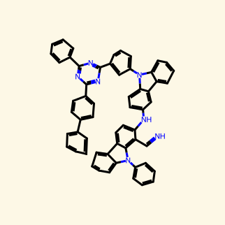 N=Cc1c(Nc2ccc3c(c2)c2ccccc2n3-c2cccc(-c3nc(-c4ccccc4)nc(-c4ccc(-c5ccccc5)cc4)n3)c2)ccc2c3ccccc3n(-c3ccccc3)c12